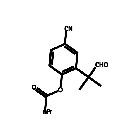 CCCC(=O)Oc1ccc(C#N)cc1C(C)(C)C=O